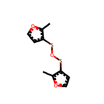 Cc1occc1SOSc1ccoc1C